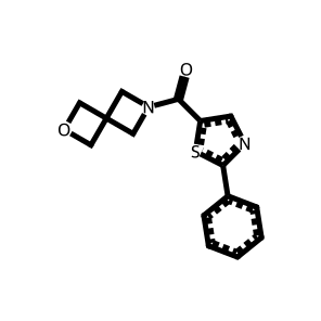 O=C(c1cnc(-c2ccccc2)s1)N1CC2(COC2)C1